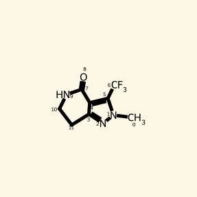 Cn1nc2c(c1C(F)(F)F)C(=O)NCC2